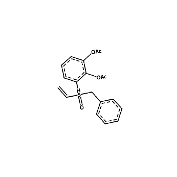 C=C[SH](=O)(Cc1ccccc1)c1cccc(OC(C)=O)c1OC(C)=O